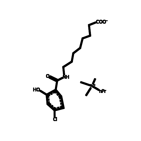 CCC[N+](C)(C)C.O=C([O-])CCCCCCCNC(=O)c1ccc(Cl)cc1O